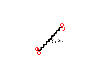 O=C([O-])CCCCCCCCCCCCCCCCC(=O)[O-].[Cu+2]